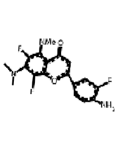 CNc1c(F)c(N(C)C)c(F)c2oc(-c3ccc(N)c(F)c3)cc(=O)c12